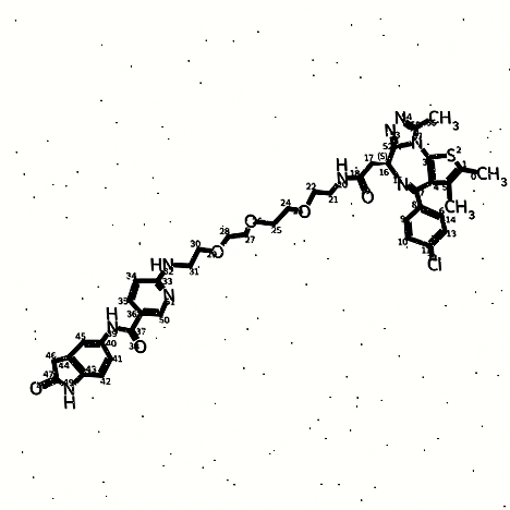 Cc1sc2c(c1C)C(c1ccc(Cl)cc1)=N[C@@H](CC(=O)NCCOCCOCCOCCNc1ccc(C(=O)Nc3ccc4c(c3)CC(=O)N4)cn1)c1nnc(C)n1-2